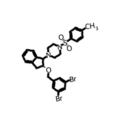 Cc1ccc(S(=O)(=O)N2CCN(C3c4ccccc4C[C@H]3OCc3cc(Br)cc(Br)c3)CC2)cc1